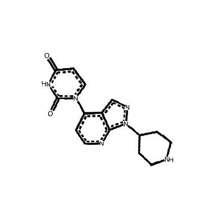 O=c1ccn(-c2ccnc3c2cnn3C2CCNCC2)c(=O)[nH]1